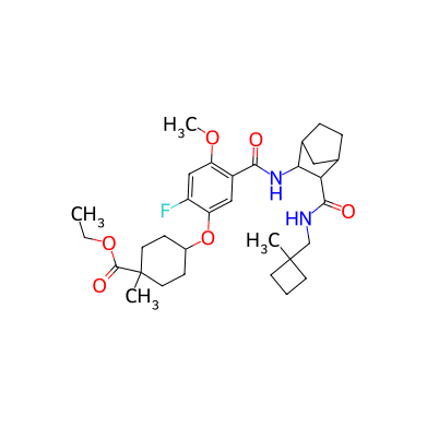 CCOC(=O)C1(C)CCC(Oc2cc(C(=O)NC3C4CCC(C4)C3C(=O)NCC3(C)CCC3)c(OC)cc2F)CC1